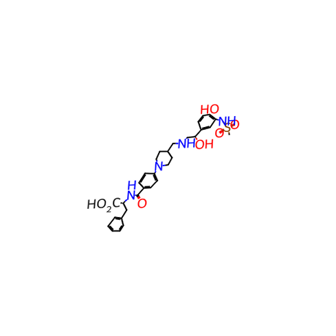 CS(=O)(=O)Nc1cc([C@@H](O)CNCC2CCN(c3ccc(C(=O)N[C@@H](Cc4ccccc4)C(=O)O)cc3)CC2)ccc1O